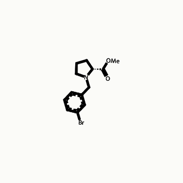 COC(=O)[C@H]1CCCN1Cc1cccc(Br)c1